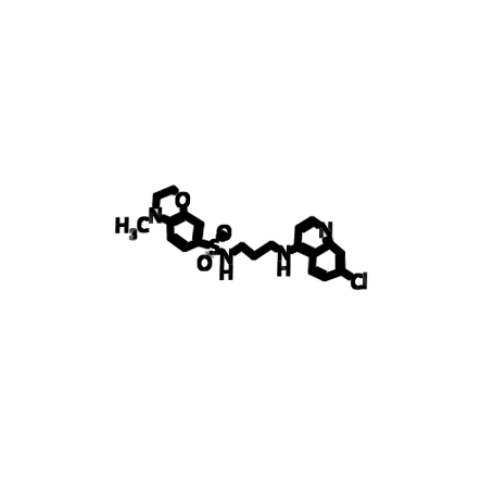 CN1CCOc2cc(S(=O)(=O)NCCCNc3ccnc4cc(Cl)ccc34)ccc21